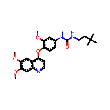 COc1cc2nccc(Oc3ccc(NC(=O)NCCC(C)(C)C)cc3OC)c2cc1OC